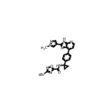 Cn1cc(-c2nc3c(-c4ccc(C5(NC(=O)c6nc(C(C)(C)C)no6)CC5)cc4)ccnc3[nH]2)cn1